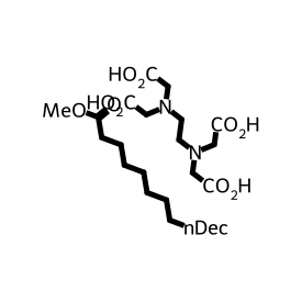 CCCCCCCCCCCCCCCCCC(=O)OC.O=C(O)CN(CCN(CC(=O)O)CC(=O)O)CC(=O)O